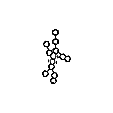 c1ccc(-c2ccc(-c3ccc4c(c3)c3cc5ccccc5cc3n4-c3nc4cc(-c5ccc6ccccc6c5)c(-c5ccccc5)cc4nc3-c3ccc(-c4ccccc4)cc3)cc2)cc1